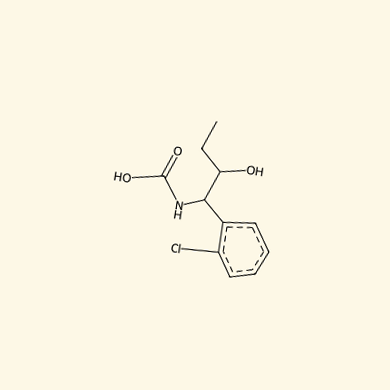 CCC(O)C(NC(=O)O)c1ccccc1Cl